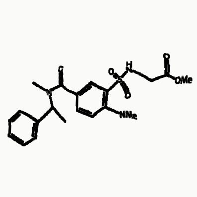 CNc1ccc(C(=O)N(C)C(C)c2ccccc2)cc1S(=O)(=O)NCC(=O)OC